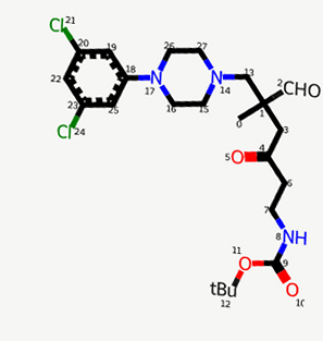 CC(C=O)(CC(=O)CCNC(=O)OC(C)(C)C)CN1CCN(c2cc(Cl)cc(Cl)c2)CC1